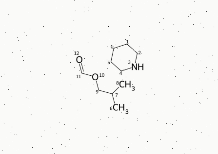 C1CCNCC1.CC(C)COC=O